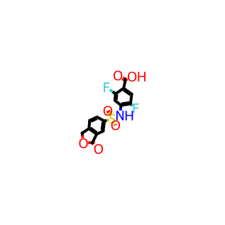 O=C(O)c1cc(F)c(NS(=O)(=O)c2ccc3c(c2)C(=O)OC3)cc1F